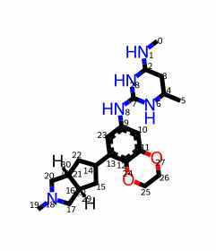 CNC1CC(C)NC(Nc2cc3c(c(C4C[C@@H]5CN(C)C[C@@H]5C4)c2)OCCO3)N1